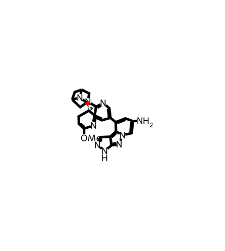 COC1=CC[C@H](CN2C3CC2CN(c2ccc(-c4cc(N)cn5nc6[nH]ncc6c45)cn2)C3)C=N1